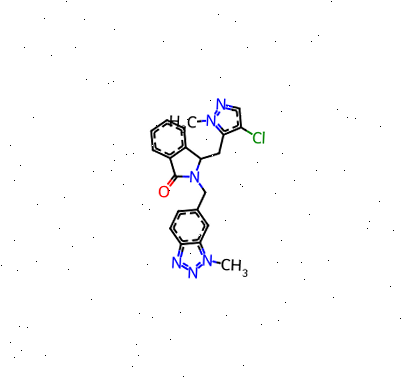 Cn1ncc(Cl)c1CC1c2ccccc2C(=O)N1Cc1ccc2nnn(C)c2c1